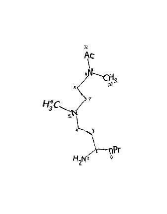 CCCC(N)CCN(C)CCN(C)C(C)=O